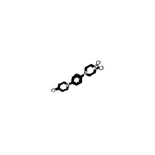 O=C1CCN(c2ccc(N3CCS(=O)(=O)CC3)cc2)CC1